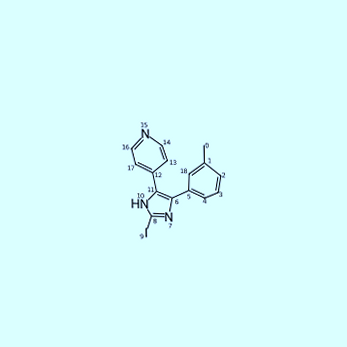 Cc1cccc(-c2nc(I)[nH]c2-c2ccncc2)c1